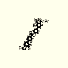 CCCC(O)c1ccc(C2CCC(OC(=O)c3ccc(-c4ccc(OCC)c(F)c4F)cc3)CC2)c(F)c1F